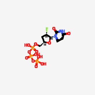 O=c1ccn([C@@H]2O[C@H](COP(=O)(O)OP(=O)(O)OP(=O)(O)O)C[C@@H]2F)c(=O)[nH]1